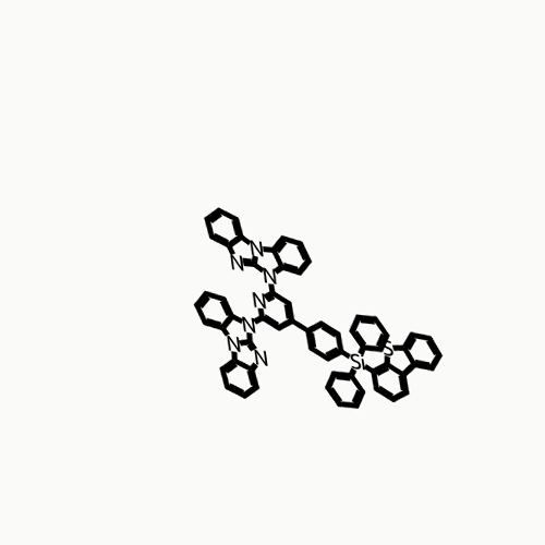 c1ccc([Si](c2ccccc2)(c2ccc(-c3cc(-n4c5ccccc5n5c6ccccc6nc45)nc(-n4c5ccccc5n5c6ccccc6nc45)c3)cc2)c2cccc3c2sc2ccccc23)cc1